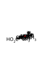 B=C(NC1(c2nc3ccc(/C=C(\C)C(=O)O)cc3n2C)CCC1)c1ccc2c(C3CCCC3)c(-c3ccoc3)n(C)c2c1